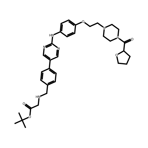 CC(C)(C)OC(=O)CNCc1ccc(-c2cnc(Nc3ccc(OCCN4CCN(C(=O)C5CCCO5)CC4)cc3)nc2)cc1